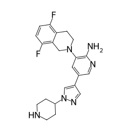 Nc1ncc(-c2cnn(C3CCNCC3)c2)cc1N1CCc2c(F)ccc(F)c2C1